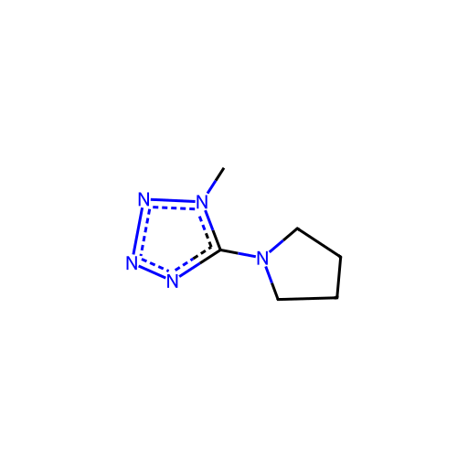 Cn1nnnc1N1CCCC1